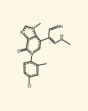 CN/C=C(\C=N)c1cn(-c2ccc(Cl)cc2C)c(=O)c2ncn(C)c12